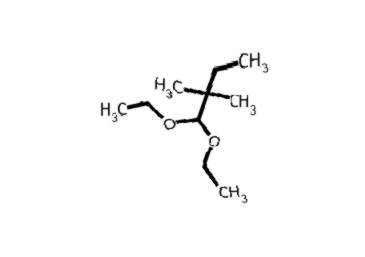 CCOC(OCC)C(C)(C)CC